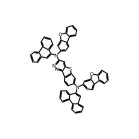 c1ccc2c(c1)cc(N(c1ccc3c(c1)oc1ccccc13)c1ccc3c(c1)sc1cc(N(c4ccc5c(c4)oc4ccccc45)c4cc5ccccc5c5ccccc45)nnc13)c1ccccc12